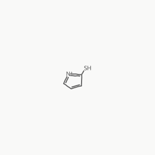 SC1=[N+]=CC=C1